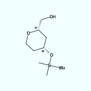 CC(C)(C)[Si](C)(C)O[C@@H]1CCO[C@H](CO)C1